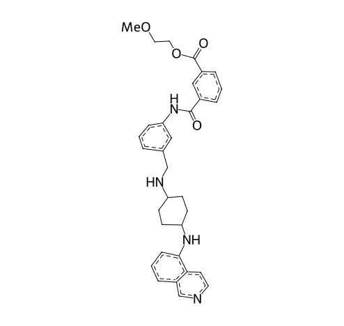 COCCOC(=O)c1cccc(C(=O)Nc2cccc(CNC3CCC(Nc4cccc5cnccc45)CC3)c2)c1